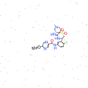 COc1cnc(C(=O)Nc2ccc(F)c([C@]3(C)CS(=O)(=O)C4(CCN(C)CC4)C(=N)N3)c2)cn1